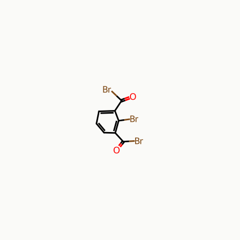 O=C(Br)c1cccc(C(=O)Br)c1Br